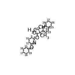 CC(C)C(C)(C(=O)Oc1cccc(Oc2ccccc2)n1)c1ccc2ccccc2c1